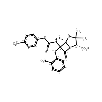 CC1(C)S[C@H]2N(C(=O)C2(NC(=O)Cc2ccc([N+](=O)[O-])cc2)Sc2ccccc2[N+](=O)[O-])[C@H]1C(=O)O